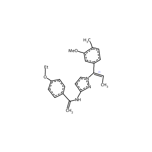 C=C(Nc1ccn(/C(=C\C)c2ccc(C)c(OC)c2)n1)c1ccc(OCC)cc1